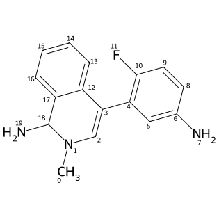 CN1C=C(c2cc(N)ccc2F)c2ccccc2C1N